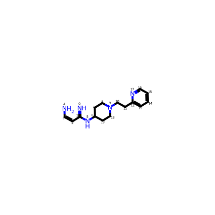 N=C(/C=C\N)NC1CCN(CCc2ccccn2)CC1